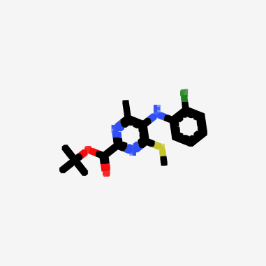 CSc1nc(C(=O)OC(C)(C)C)nc(C)c1Nc1ccccc1Cl